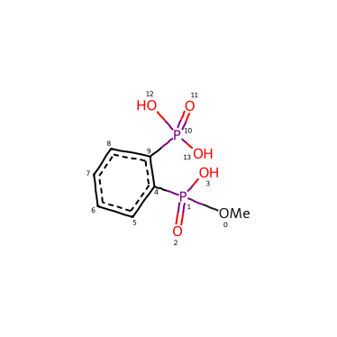 COP(=O)(O)c1ccccc1P(=O)(O)O